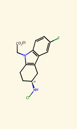 CCOC(=O)Cn1c2c(c3cc(F)ccc31)C[C@@H](NCl)CC2